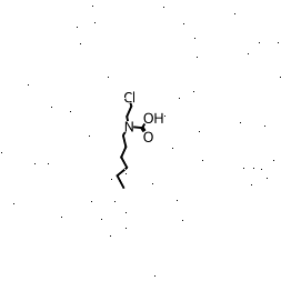 CCCCCCN(CCCl)C(=O)O